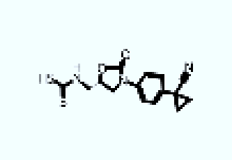 N#CC1(c2ccc(N3C[C@H](CNC(=S)S)OC3=O)cc2)CC1